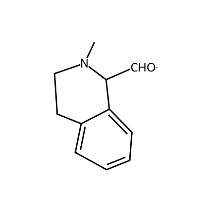 CN1CCc2ccccc2C1[C]=O